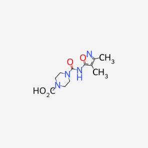 Cc1noc(NC(=O)N2CCN(C(=O)O)CC2)c1C